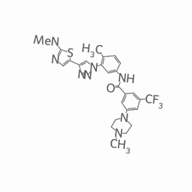 CNc1ncc(-c2cn(-c3cc(NC(=O)c4cc(N5CCN(C)CC5)cc(C(F)(F)F)c4)ccc3C)nn2)s1